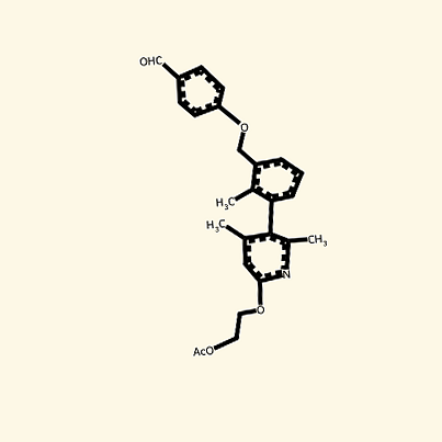 CC(=O)OCCOc1cc(C)c(-c2cccc(COc3ccc(C=O)cc3)c2C)c(C)n1